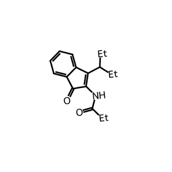 CCC(=O)NC1=C(C(CC)CC)c2ccccc2C1=O